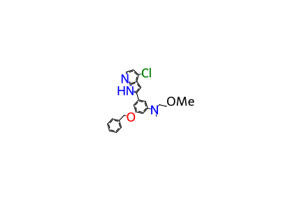 COCCN(C)c1cc(OCc2ccccc2)cc(-c2cc3c(Cl)ccnc3[nH]2)c1